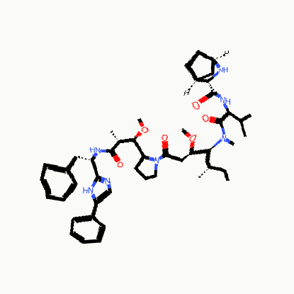 CC[C@H](C)[C@@H]([C@@H](CC(=O)N1CCCC1[C@H](OC)[C@@H](C)C(=O)N[C@@H](Cc1ccccc1)c1ncc(-c2ccccc2)[nH]1)OC)N(C)C(=O)C(NC(=O)[C@H]1N[C@@H]2CC[C@H]1C2)C(C)C